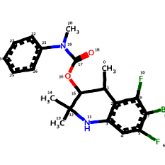 CC1c2c(cc(F)c(Br)c2F)NC(C)(C)C1OC(=O)N(C)c1ccccc1